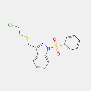 O=S(=O)(c1ccccc1)n1cc(CSCCCl)c2ccccc21